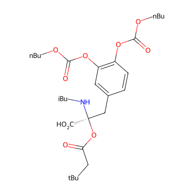 CCCCOC(=O)Oc1ccc(C[C@](NC(C)CC)(OC(=O)CC(C)(C)C)C(=O)O)cc1OC(=O)OCCCC